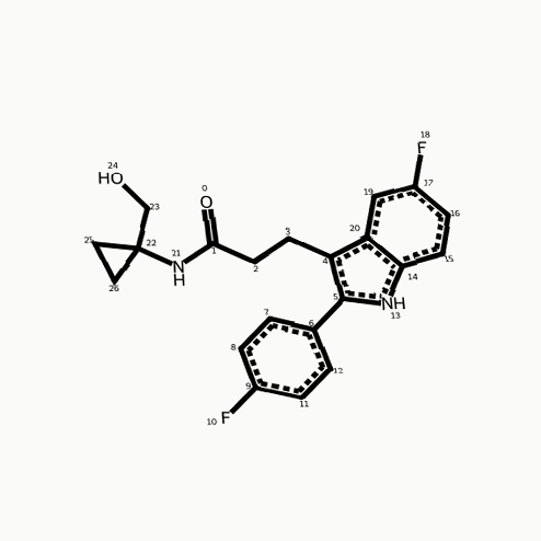 O=C(CCc1c(-c2ccc(F)cc2)[nH]c2ccc(F)cc12)NC1(CO)CC1